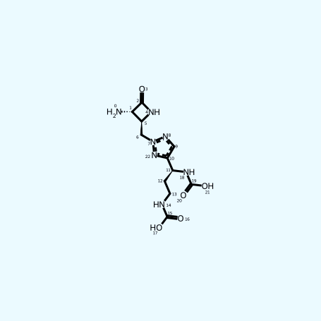 N[C@@H]1C(=O)N[C@H]1Cn1ncc([C@H](CCNC(=O)O)NC(=O)O)n1